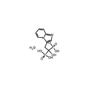 O.O=P(O)(O)C(O)(Cc1cnc2ccccn12)P(=O)(O)O